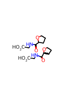 O=C(O)CNC(=O)C1=CCCO1.O=C(O)CNC(=O)C1CCCO1